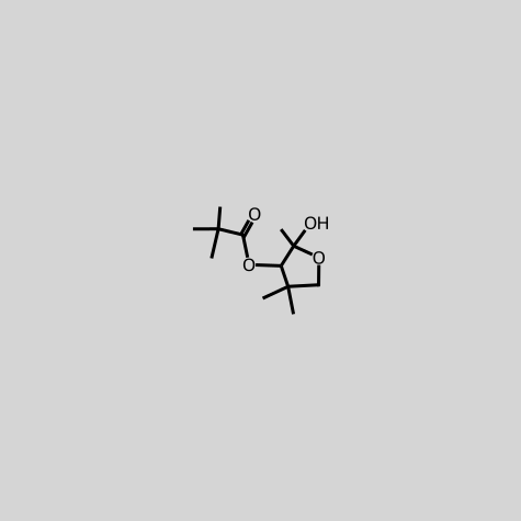 CC(C)(C)C(=O)OC1C(C)(C)COC1(C)O